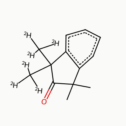 [2H]C([2H])([2H])C1(C([2H])([2H])[2H])C(=O)C(C)(C)c2ccccc21